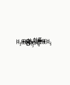 C=C(C)C(=O)Oc1cc(C)c(N2C(=O)c3cc4c(cc3C2=O)CC(CC[C@H]2Cc3cc5c(cc3C=C2C)C(=O)N(c2c(C)cc(OC(=O)C(=C)C)cc2C)C5=O)C(C)=C4)c(C)c1